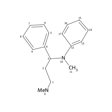 CNCCC(c1ccccc1)N(C)c1ccccc1